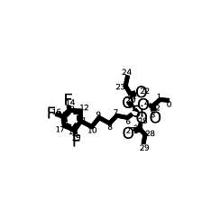 CCC(=O)O[Si](CCCCCc1cc(F)c(F)cc1F)(OC(=O)CC)OC(=O)CC